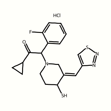 Cl.O=C(C1CC1)C(c1ccccc1F)N1CCC(S)C(=Cc2csnn2)C1